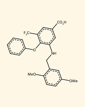 COc1ccc(OC)c(CNc2cc(C(=O)O)cc(C(F)(F)F)c2Oc2ccccc2)c1